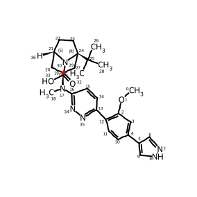 COc1cc(-c2cn[nH]c2)ccc1-c1ccc(N(C)[C@H]2C[C@@H]3CC[C@](C(C)(C)C)(C2)N3C(=O)O)nn1